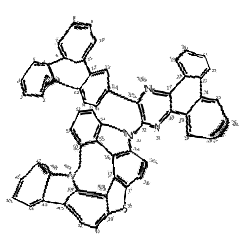 c1ccc2c(c1)c1ccccc1c1cc(-c3nc4c5ccccc5c5ccccc5c4nc3-n3c4ccc5sc6ccc7c8ccccc8n8c9cccc3c9c4c5c6c78)ccc21